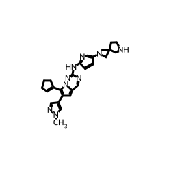 Cn1cc(-c2cc3cnc(Nc4ccc(N5CC6(CCNC6)C5)cn4)nn3c2C2=CCCC2)cn1